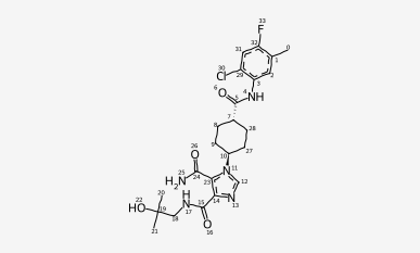 Cc1cc(NC(=O)[C@H]2CC[C@H](n3cnc(C(=O)NCC(C)(C)O)c3C(N)=O)CC2)c(Cl)cc1F